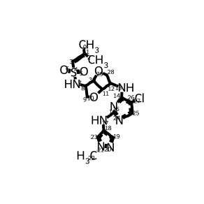 CC(C)=CS(=O)(=O)NC1COC2C(Nc3nc(Nc4cnn(C)c4)ncc3Cl)COC12